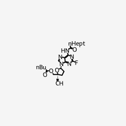 C#C[C@@]1(COC(=O)CCCC)CC[C@H](n2cnc3c(NC(=O)CCCCCCC)nc(F)nc32)O1